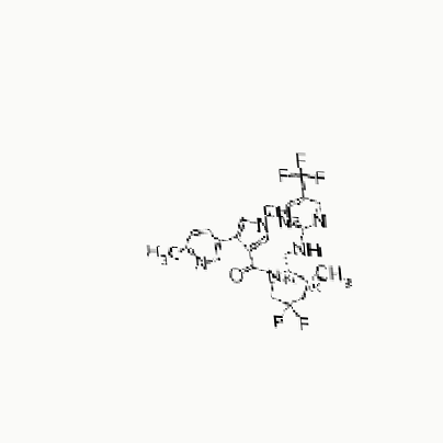 Cc1ccc(-c2cn(C)cc2C(=O)N2CC(F)(F)C[C@@H](C)[C@H]2CNc2ncc(C(F)(F)F)cn2)cn1